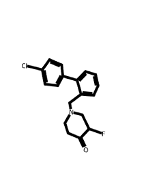 O=C1CCN(Cc2ccccc2-c2ccc(Cl)cc2)CC1F